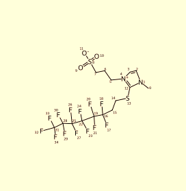 Cn1cc[n+](CCCS(=O)(=O)[O-])c1SCCC(F)(F)C(F)(F)C(F)(F)C(F)(F)C(F)(F)C(F)(F)F